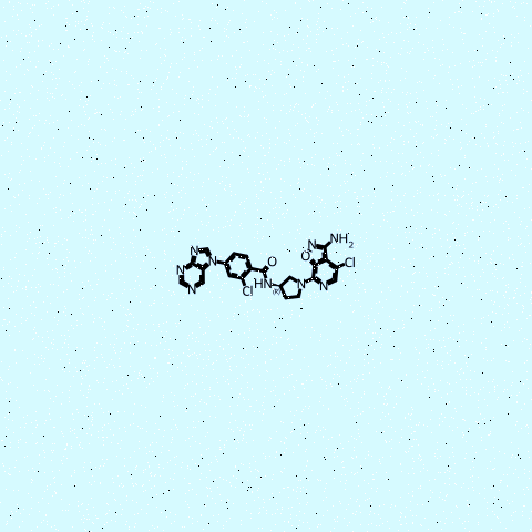 Nc1noc2c(N3CC[C@@H](NC(=O)c4ccc(-n5cnc6ncncc65)cc4Cl)C3)ncc(Cl)c12